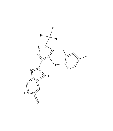 Cc1cc(F)ccc1Oc1cc(C(F)(F)F)ccc1-c1nc2c[nH]c(=O)cc2[nH]1